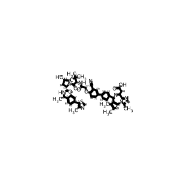 Cc1ncsc1-c1ccc([C@H](C)NC(=O)[C@@H]2C[C@@H](O)CN2C(=O)[C@@H](NC(=O)COc2ccc(-c3ccc(C4=NC(CC(=O)O)c5nnc(C)n5-c5sc(C)c(C)c54)cc3)cc2C#N)C(C)(C)C)cc1